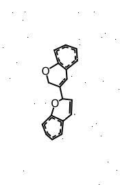 [C]1=CC(C2=Cc3ccccc3OC2)Oc2ccccc21